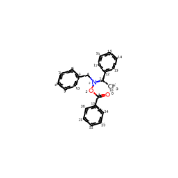 O=C(ON(Cc1ccccc1)C(c1ccccc1)C(F)(F)F)c1ccccc1